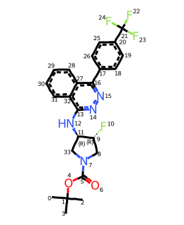 CC(C)(C)OC(=O)N1C[C@@H](F)[C@H](Nc2nnc(-c3ccc(C(F)(F)F)cc3)c3ccccc23)C1